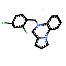 Clc1ccc(Cn2cc3ccc[n+]-3c3ccccc32)c(Cl)c1.[Cl-]